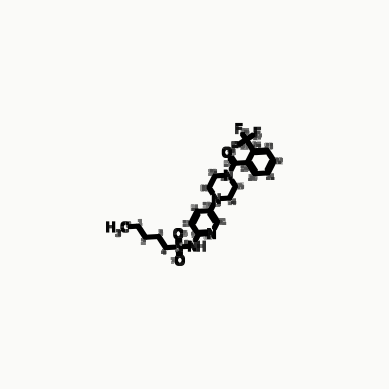 CCCCCS(=O)(=O)Nc1ccc(N2CCN(C(=O)c3ccccc3C(F)(F)F)CC2)cn1